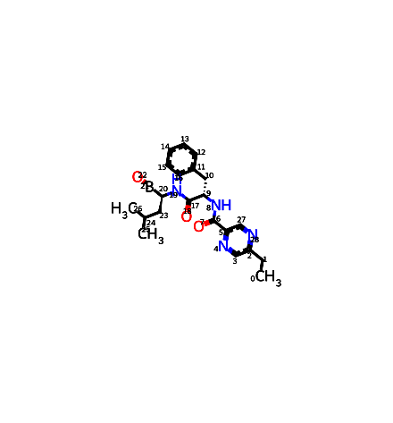 CCc1cnc(C(=O)N[C@@H](Cc2ccccc2)C(=O)N[C@H](B=O)CC(C)C)cn1